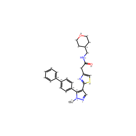 CC(C)(C)n1ncc(-c2nc(CC(=O)NCC3CCOCC3)cs2)c1-c1ccc(-c2ccccc2)cc1